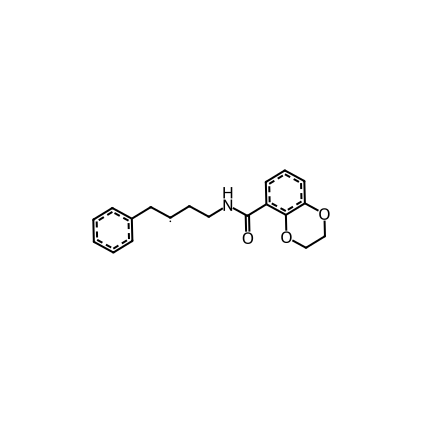 O=C(NCC[CH]Cc1ccccc1)c1cccc2c1OCCO2